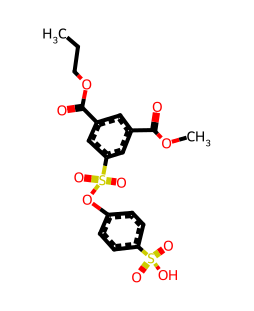 CCCOC(=O)c1cc(C(=O)OC)cc(S(=O)(=O)Oc2ccc(S(=O)(=O)O)cc2)c1